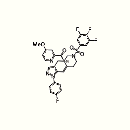 COc1ccnc(C(=O)[C@]23Cc4cnn(-c5ccc(F)cc5)c4C=C2CCN(S(=O)(=O)c2cc(F)c(F)c(F)c2)C3)c1